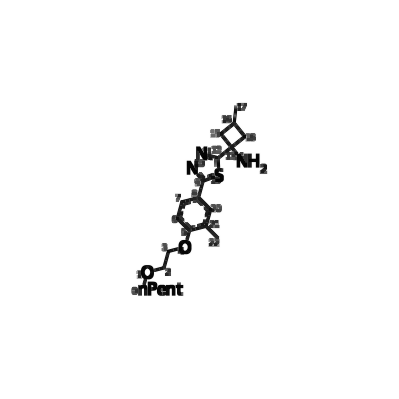 CCCCCOCCOc1ccc(-c2nnc(C3(N)CC(C)C3)s2)cc1C